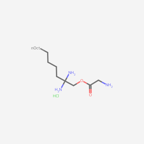 CCCCCCCCCCCCC(N)(N)COC(=O)CN.Cl